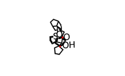 O=C(OCC1C2CCC1CN(Cc1ccccc1)C2)C(O)(c1cccs1)C1CCCC1